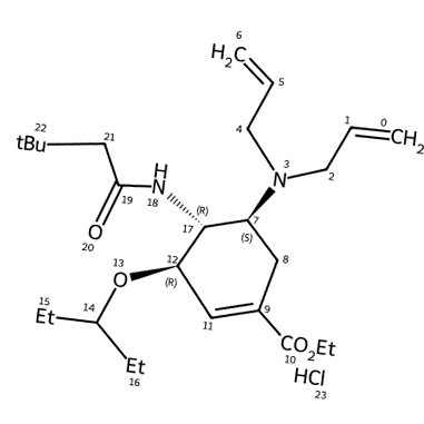 C=CCN(CC=C)[C@H]1CC(C(=O)OCC)=C[C@@H](OC(CC)CC)[C@@H]1NC(=O)CC(C)(C)C.Cl